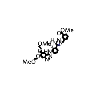 COCCOc1cc2ncnc(Nc3cccc(/C(N)=C/N(N)Cc4cccc(C(=O)OC)c4)c3)c2cc1OCCOC